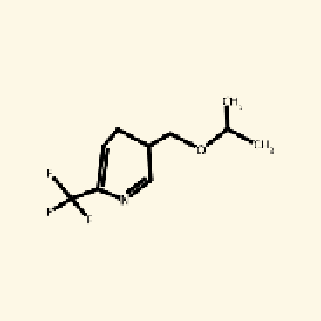 CC(C)OCC1C=NC(C(F)(F)F)=CC1